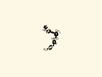 Cc1ccc(C(=O)Nc2ccc(CN3CCN(C)CC3)c(F)c2)cc1C#Cc1cnc(Nc2ccsc2)nc1